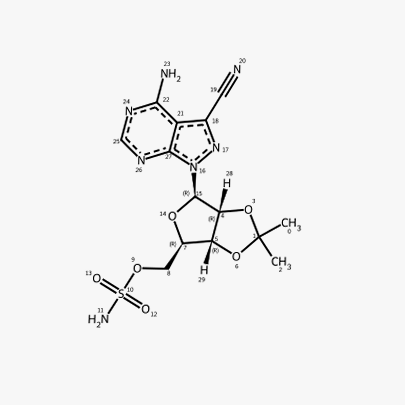 CC1(C)O[C@@H]2[C@H](O1)[C@@H](COS(N)(=O)=O)O[C@H]2n1nc(C#N)c2c(N)ncnc21